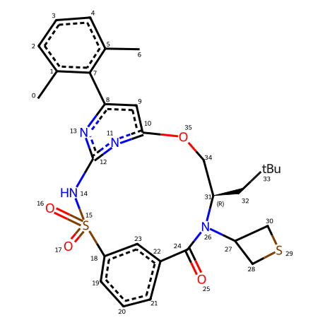 Cc1cccc(C)c1-c1cc2nc(n1)NS(=O)(=O)c1cccc(c1)C(=O)N(C1CSC1)[C@H](CC(C)(C)C)CO2